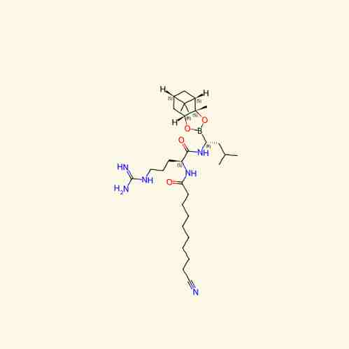 CC(C)C[C@H](NC(=O)[C@H](CCCNC(=N)N)NC(=O)CCCCCCCCC#N)B1O[C@@H]2C[C@@H]3C[C@@H](C3(C)C)[C@]2(C)O1